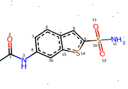 CC(=O)Nc1ccc2cc(S(N)(=O)=O)sc2c1